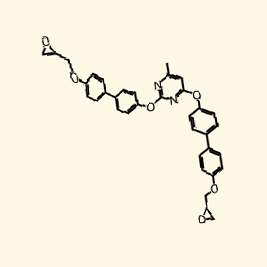 Cc1cc(Oc2ccc(-c3ccc(OCC4CO4)cc3)cc2)nc(Oc2ccc(-c3ccc(OCC4CO4)cc3)cc2)n1